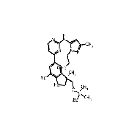 COCCn1nc(C)cc1Nc1nccc(-c2cc(C#N)c3c(c2)[C@@](C)(CO[Si](C)(C)C(C)(C)C)CN3)n1